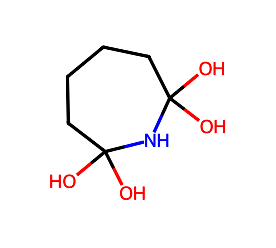 OC1(O)CCCCC(O)(O)N1